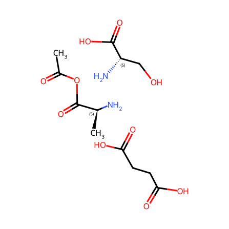 CC(=O)OC(=O)[C@H](C)N.N[C@@H](CO)C(=O)O.O=C(O)CCC(=O)O